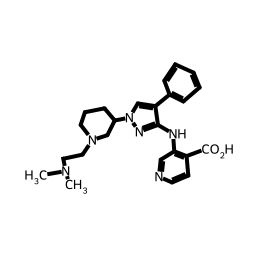 CN(C)CCN1CCCC(n2cc(-c3ccccc3)c(Nc3cnccc3C(=O)O)n2)C1